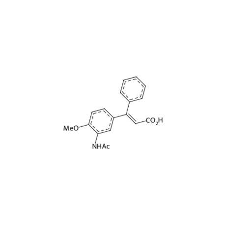 COc1ccc(C(=CC(=O)O)c2ccccc2)cc1NC(C)=O